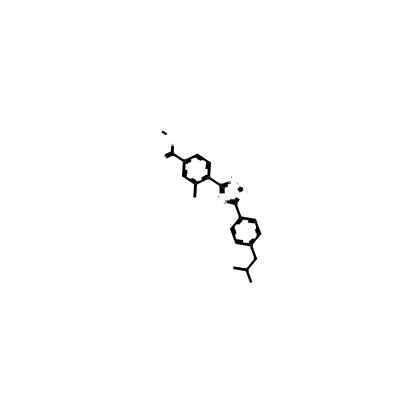 COC(=O)c1ccc(-c2noc(-c3ccc(CC(C)C)cc3)n2)c(C)c1